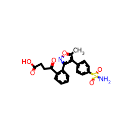 Cc1onc(-c2ccccc2C(=O)CCC(=O)O)c1-c1ccc(S(N)(=O)=O)cc1